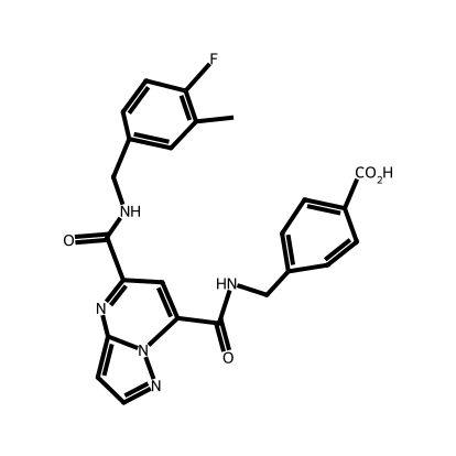 Cc1cc(CNC(=O)c2cc(C(=O)NCc3ccc(C(=O)O)cc3)n3nccc3n2)ccc1F